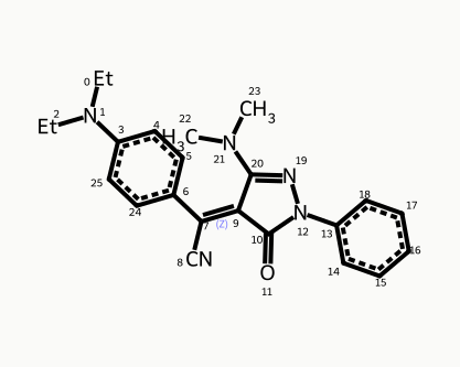 CCN(CC)c1ccc(/C(C#N)=C2/C(=O)N(c3ccccc3)N=C2N(C)C)cc1